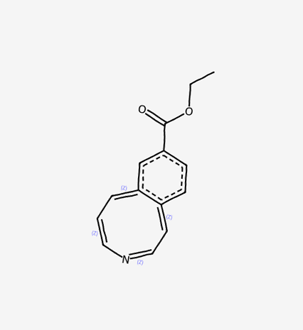 CCOC(=O)c1ccc2/c(c1)=C\C=C/N=C\C=2